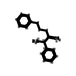 C=C(CCCc1ccccc1)C(N)c1ccccc1